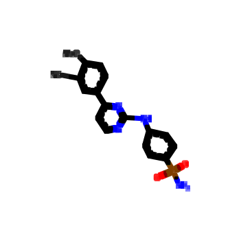 COc1ccc(-c2ccnc(Nc3ccc(S(N)(=O)=O)cc3)n2)cc1C#N